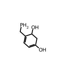 OC1=CC=C(CP)C(O)C1